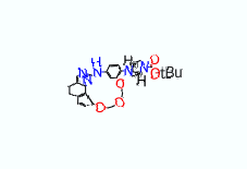 CC(C)(C)OC(=O)N1C[C@H]2C[C@@H]1CN2c1ccc2cc1OCCOCCOc1ccc3c(c1)-c1nc(ncc1CC3)N2